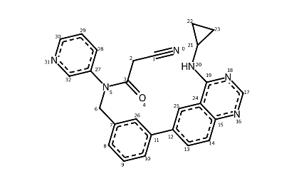 N#CCC(=O)N(Cc1cccc(-c2ccc3ncnc(NC4CC4)c3c2)c1)c1cccnc1